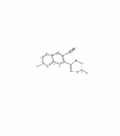 Cc1ccc2cc(C#N)c(C3CCN(C)CC3)nc2c1